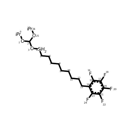 CC(C)OC(O[SiH2]CCCCCCCCCc1c(F)c(F)c(F)c(F)c1F)OC(C)C